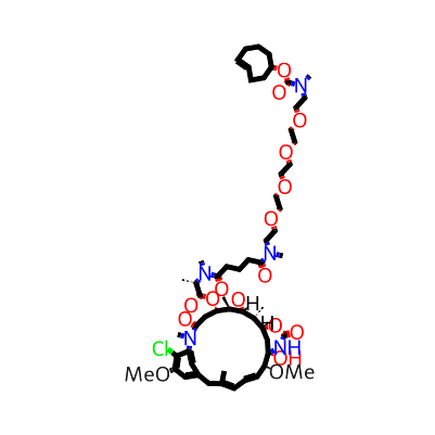 COc1cc2cc(c1Cl)N(C)C(=O)C[C@H](OC(=O)[C@H](C)N(C)C(=O)CCCC(=O)N(C)CCOCCOCCOCCOCCN(C)C(=O)OC1CC/C=C/CCC1)[C@]1(C)O[C@H]1[C@H](C)[C@@H]1C[C@@](O)(NC(=O)O1)[C@H](OC)/C=C/C=C(\C)C2